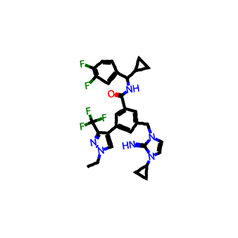 CCn1cc(-c2cc(Cn3ccn(C4CC4)c3=N)cc(C(=O)NC(c3ccc(F)c(F)c3)C3CC3)c2)c(C(F)(F)F)n1